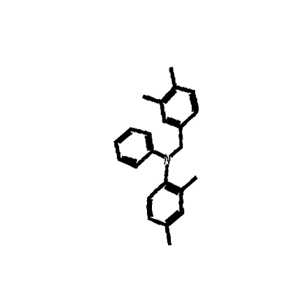 Cc1ccc(N(Cc2ccc(C)c(C)c2)c2ccccc2)c(C)c1